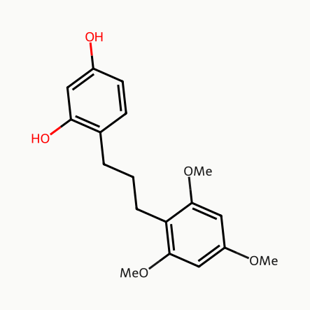 COc1cc(OC)c(CCCc2ccc(O)cc2O)c(OC)c1